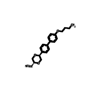 CCCCCC[C@@H]1CO[C@@H](c2ccc(-c3ccc(OCCCC(F)(F)F)cc3)cc2)CO1